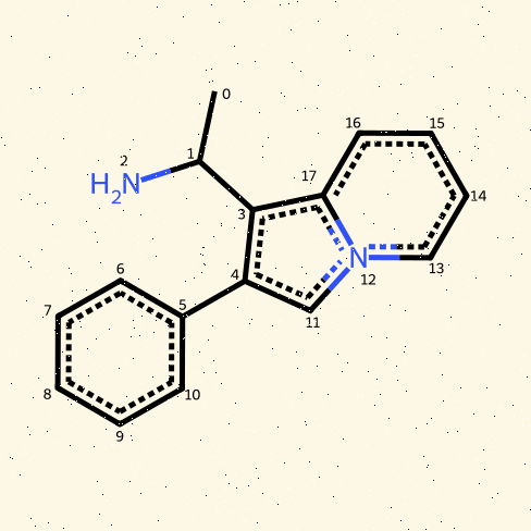 CC(N)c1c(-c2ccccc2)cn2ccccc12